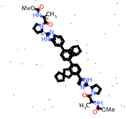 COC(=O)N[C@@H](C)C(=O)N1CCC[C@H]1c1ncc(-c2ccc(-c3ccc(-c4ccc5nc([C@@H]6CCCN6C(=O)[C@H](C)NC(=O)OC)[nH]c5c4)c4c3C3CCC4C3)c3c2CC2(CCCC2)C3)[nH]1